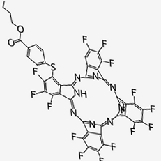 CCCCOC(=O)c1ccc(Sc2c(F)c(F)c(F)c3c4nc5nc(nc6c7c(F)c(F)c(F)c(F)c7c(nc7nc(nc([nH]4)c23)-c2cc(F)c(F)c(F)c2-7)n6F)-c2c(F)c(F)c(F)c(F)c2-5)cc1